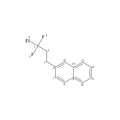 CCC(F)(F)CCc1ccc2ccccc2c1